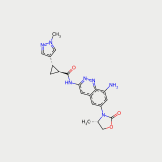 C[C@H]1COC(=O)N1c1cc(N)c2nnc(NC(=O)[C@H]3C[C@@H]3c3cnn(C)c3)cc2c1